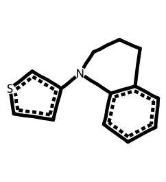 c1ccc2c(c1)CCCN2c1ccsc1